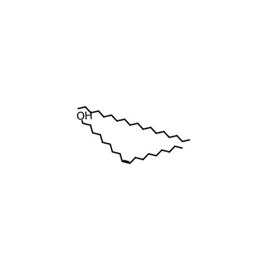 CCCCCCCC/C=C\CCCCCCCCO.CCCCCCCCCCCCCCCCCC